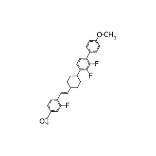 COc1ccc(-c2ccc(C3CCC(/C=C/c4ccc(C5CO5)cc4F)CC3)c(F)c2F)cc1